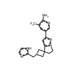 Nc1ncc(-c2cc3n(n2)CCC32CN(Cc3ncc[nH]3)C2)cc1C(F)(F)F